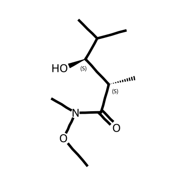 CON(C)C(=O)[C@@H](C)[C@@H](O)C(C)C